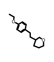 CCOc1ccc(CCC2CCCOC2)cc1